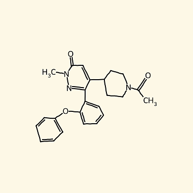 CC(=O)N1CCC(c2cc(=O)n(C)nc2-c2ccccc2Oc2ccccc2)CC1